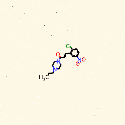 CCCN1CCN(C(=O)C=Cc2cc([N+](=O)[O-])ccc2Cl)CC1